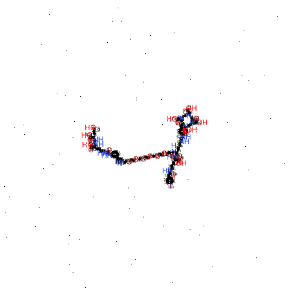 O=C(O)CC[C@H](NC(=O)N[C@@H](CCCCNC(=O)Nc1cccc(-c2cn(CCOCCOCCOCCOCCOCCOCCC(=O)N[C@@H](CCCCNC(=S)Nc3ccc(CC4CN(CC(=O)O)CCN(CC(=O)O)CCN(CC(=O)O)CCN4CC(=O)O)cc3)C(=O)N[C@@H](CCCCNC(=O)Cc3ccc(I)cc3)C(=O)O)nn2)c1)C(=O)O)C(=O)O